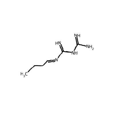 CCCC=NC(=N)NC(=N)N